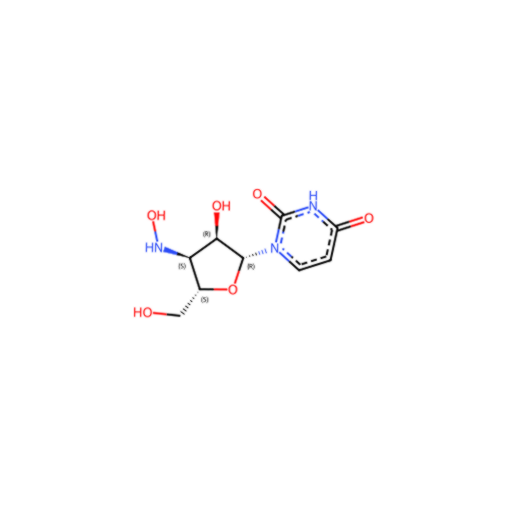 O=c1ccn([C@@H]2O[C@H](CO)[C@@H](NO)[C@H]2O)c(=O)[nH]1